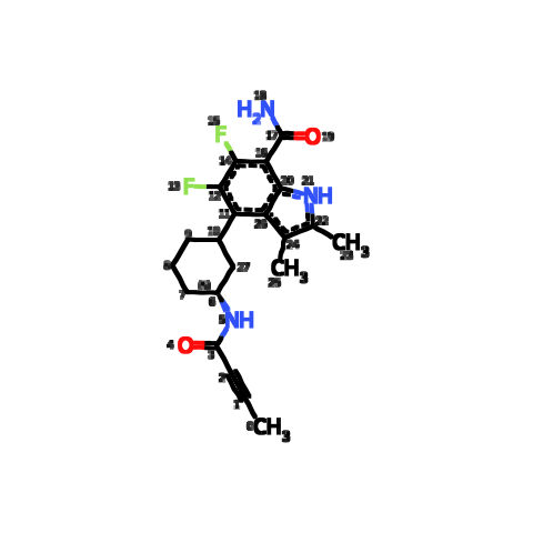 CC#CC(=O)N[C@H]1CCCC(c2c(F)c(F)c(C(N)=O)c3[nH]c(C)c(C)c23)C1